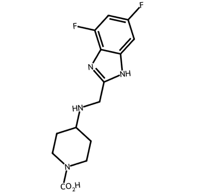 O=C(O)N1CCC(NCc2nc3c(F)cc(F)cc3[nH]2)CC1